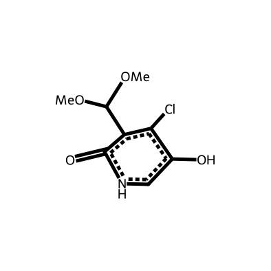 COC(OC)c1c(Cl)c(O)c[nH]c1=O